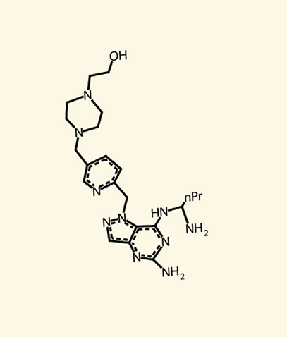 CCCC(N)Nc1nc(N)nc2cnn(Cc3ccc(CN4CCN(CCO)CC4)cn3)c12